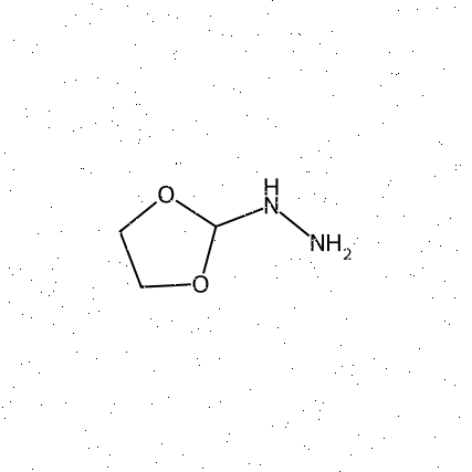 NNC1OCCO1